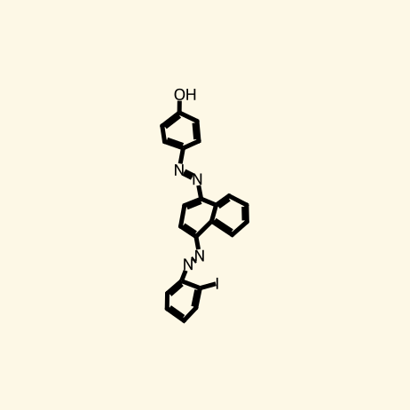 Oc1ccc(N=Nc2ccc(N=Nc3ccccc3I)c3ccccc23)cc1